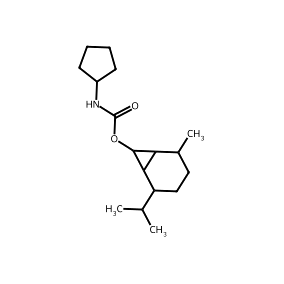 CC(C)C1CCC(C)C2C(OC(=O)NC3CCCC3)C12